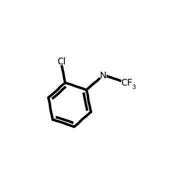 FC(F)(F)[N]c1ccccc1Cl